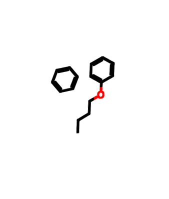 CCCCOc1ccccc1.c1ccccc1